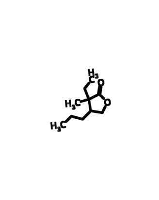 CCCC1COC(=O)C1(C)CC